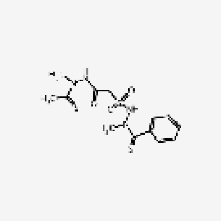 CC(=S)N(C)NC(=O)CS(=O)(=O)NN(C)C(=S)c1ccccc1